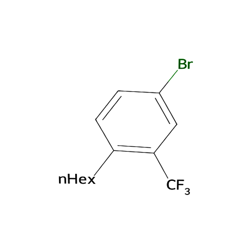 CCCCCCc1ccc(Br)cc1C(F)(F)F